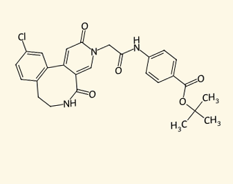 CC(C)(C)OC(=O)c1ccc(NC(=O)Cn2cc3c(cc2=O)-c2cc(Cl)ccc2CCNC3=O)cc1